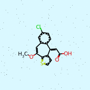 COC1=Cc2cc(Cl)ccc2C(=CC(=O)O)c2ccsc21